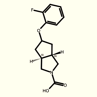 O=C(O)N1C[C@H]2CC(Oc3ccccc3F)C[C@@H]2C1